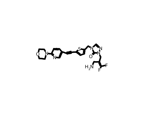 NCC(Cn1ncn(Cc2ccc(C#Cc3ccc(N4CCOCC4)nc3)s2)c1=O)=C(F)F